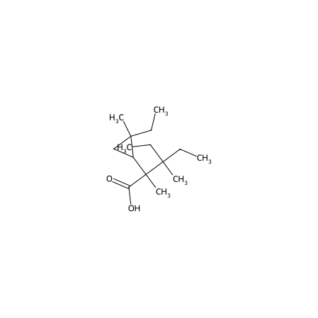 CCC1(C)CC1C(C)(C(=O)O)C(C)(CC)CC